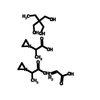 C=CC(=O)O.CC(C(=O)O)N1CC1.CC(C(=O)O)N1CC1.CCC(CO)(CO)CO